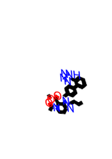 CCCc1nc2c(n1Cc1ccc(-c3ccccc3-c3nnn[nH]3)cc1)C(C(=O)OC)N(C(C)=O)CC2